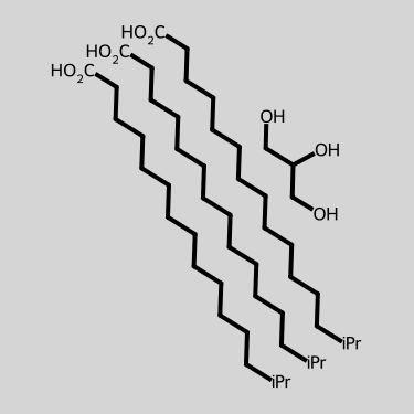 CC(C)CCCCCCCCCCCCC(=O)O.CC(C)CCCCCCCCCCCCC(=O)O.CC(C)CCCCCCCCCCCCC(=O)O.OCC(O)CO